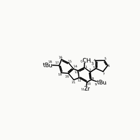 Cc1c(C2=CC=CC2)c(C(C)(C)C)[c]([Zr])c2c1-c1ccc(C(C)(C)C)cc1C2